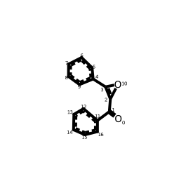 O=C(C1=C(c2ccccc2)O1)c1ccccc1